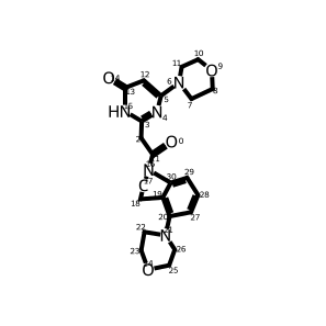 O=C(Cc1nc(N2CCOCC2)cc(=O)[nH]1)N1CCc2c(N3CCOCC3)cccc21